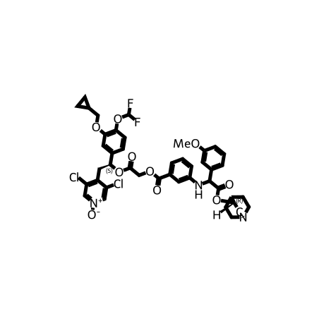 COc1cccc(C(Nc2cccc(C(=O)OCC(=O)O[C@@H](Cc3c(Cl)c[n+]([O-])cc3Cl)c3ccc(OC(F)F)c(OCC4CC4)c3)c2)C(=O)O[C@H]2CN3CCC2CC3)c1